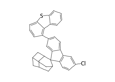 Clc1ccc2c(c1)-c1ccc(-c3cccc4sc5ccccc5c34)cc1C21C2CC3CC(C2)CC1C3